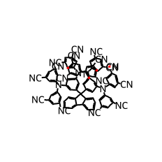 [C-]#[N+]c1cc(C#N)cc(N(c2cc(C#N)cc(C#N)c2)c2cc(N(c3cc(C#N)cc(C#N)c3)c3cc(C#N)cc([N+]#[C-])c3)cc(C3(c4cc(N(c5cc(C#N)cc(C#N)c5)c5cc(C#N)cc([N+]#[C-])c5)cc(N(c5cc(C#N)cc([N+]#[C-])c5)c5cc(C#N)cc([N+]#[C-])c5)c4)c4ccccc4-c4ccccc43)c2)c1